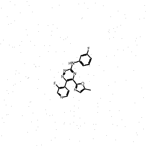 Cc1cnc(-c2nc(Nc3cccc(F)c3)nnc2-c2ccncc2F)o1